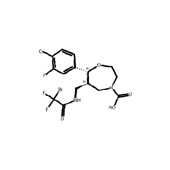 O=C(O)N1CCO[C@@H](c2ccc(Cl)c(F)c2)[C@H](CNC(=O)C(F)(F)Br)C1